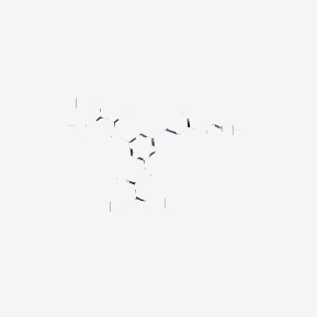 C=COC(=O)/C=C/c1cc(OC(=O)C(=C)C)cc(OC(=O)C(=C)C)c1